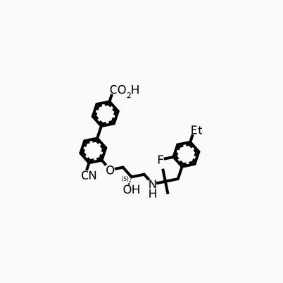 CCc1ccc(CC(C)(C)NC[C@H](O)COc2cc(-c3ccc(C(=O)O)cc3)ccc2C#N)c(F)c1